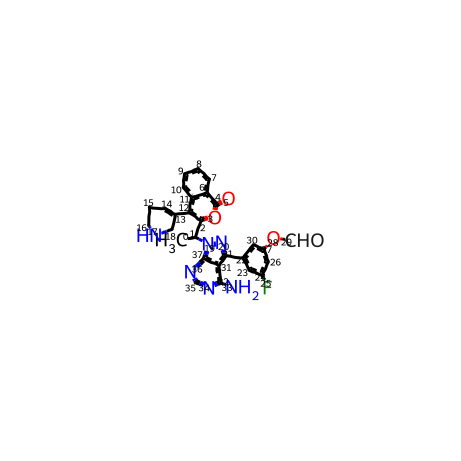 CC(c1oc(=O)c2ccccc2c1C1=CCCNC1)n1nc(-c2cc(F)cc(OC=O)c2)c2c(N)ncnc21